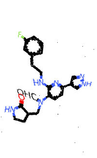 O=CN(CC1CCNC1=O)c1ccc(-c2cn[nH]c2)nc1NCCc1cccc(F)c1